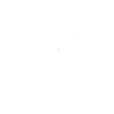 CC(Oc1cc(NC(=O)N2CCC[C@@H]2CO)c(F)cc1C(=O)O)C(F)(F)F